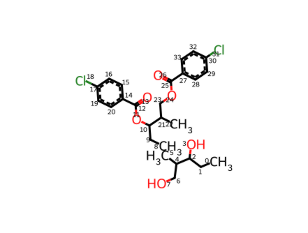 CCC(O)C(C)CO.CCC(OC(=O)c1ccc(Cl)cc1)C(C)COC(=O)c1ccc(Cl)cc1